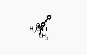 CCCCNN(C(C)=O)c1ccc(C#Cc2ccccc2)cc1